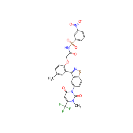 Cc1ccc(OCC(=O)NS(=O)(=O)c2cccc([N+](=O)[O-])c2)c(-c2nsc3ccc(-n4c(=O)cc(C(F)(F)F)n(C)c4=O)cc23)c1